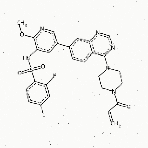 C=CC(=O)N1CCN(c2ncnc3cc(-c4cnc(OC)c(NS(=O)(=O)c5ccc(F)cc5F)c4)ccc23)CC1